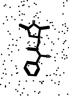 CCC(C(=O)O[C@H]1CC(=O)NC1=O)c1ccccc1